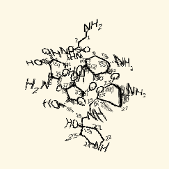 NCCS(=O)(=O)N[C@@H]1C[C@H](N)[C@@H](O[C@H]2O[C@H](CNCC3(O)CCNCC3)CC[C@H]2N)[C@H](O[C@@H]2O[C@H](CO)[C@@H](O[C@H]3O[C@@H](CN)[C@@H](O)[C@H](O)[C@H]3N)[C@H]2O)[C@H]1O